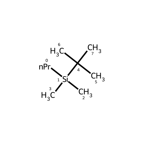 [CH2]CC[Si](C)(C)C(C)(C)C